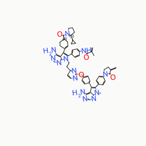 C=C(C)C(=O)Nc1ccc(-c2c(C3=CC[C@H](C(=O)N4CCC[C@H]4C4CC4)CC3)c3c(N)ncnc3n2CCc2ccnc(Oc3ccc(-c4c(-c5ccc(N6CCC(=C)C6=O)cc5)n(C)c5ncnc(N)c45)cc3)n2)cc1